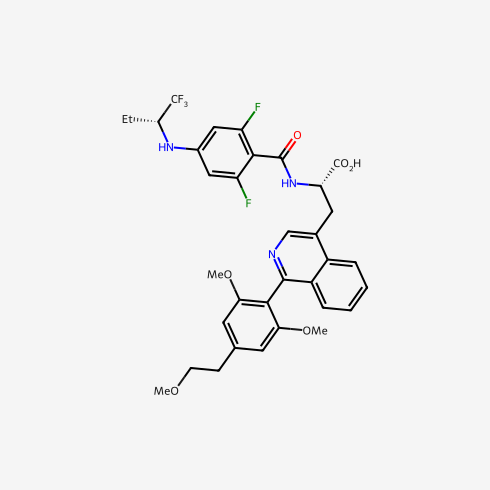 CC[C@@H](Nc1cc(F)c(C(=O)N[C@@H](Cc2cnc(-c3c(OC)cc(CCOC)cc3OC)c3ccccc23)C(=O)O)c(F)c1)C(F)(F)F